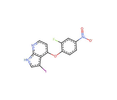 O=[N+]([O-])c1ccc(Oc2ccnc3[nH]cc(I)c23)c(F)c1